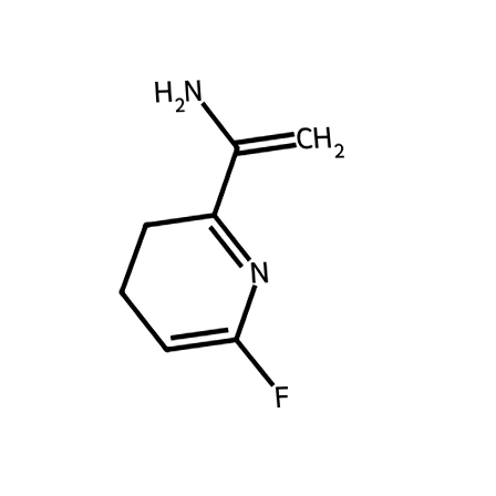 C=C(N)C1=NC(F)=CCC1